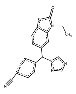 CCn1c(=O)sc2ccc(C(c3ccc(C#N)cc3)n3cncn3)cc21